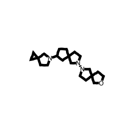 C1CC2(CCN(N3CCC4(CCC(N5CCC6(CC6)C5)C4)C3)C2)CO1